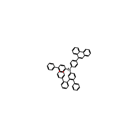 c1ccc(-c2ccc(N(c3ccc(-c4cc5ccccc5c5ccccc45)cc3)c3ccc(-c4ccccc4)c(-c4ccccc4-c4ccccc4)c3)cc2)cc1